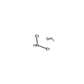 CCNCC.[SrH2]